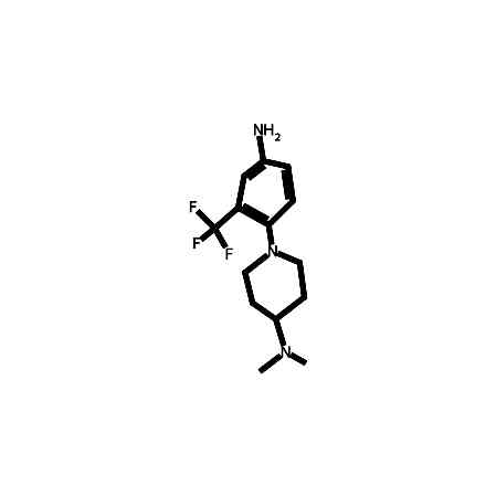 CN(C)C1CCN(c2ccc(N)cc2C(F)(F)F)CC1